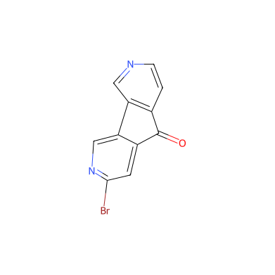 O=C1c2ccncc2-c2cnc(Br)cc21